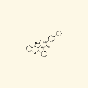 CC1=NN(c2ccccc2Cl)C(Oc2ccccc2NC(=O)Nc2ccc(C3CCCC3)cc2)C1